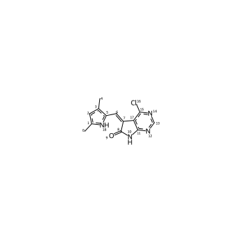 Cc1cc(C)c(C=C2C(=O)Nc3ncnc(Cl)c32)[nH]1